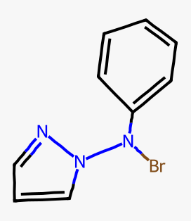 BrN(c1ccccc1)n1cccn1